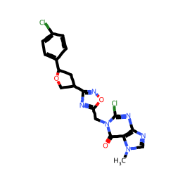 Cn1cnc2nc(Cl)n(Cc3nc(C4COC(c5ccc(Cl)cc5)C4)no3)c(=O)c21